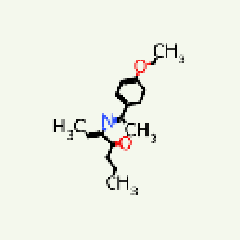 C/C=C(\N=C(/C)C1=CC=C(OCC)CC1)C(=O)CCC